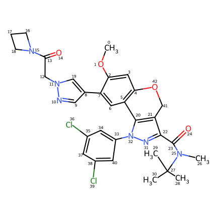 COc1cc2c(cc1-c1cnn(CC(=O)N3CCC3)c1)-c1c(c(C(=O)N(C)C(C)(C)C)nn1-c1cc(Cl)cc(Cl)c1)CO2